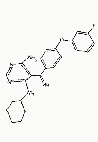 N=C(c1ccc(Oc2cccc(F)c2)cc1)c1c(N)ncnc1NC1CCCCC1